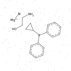 NCCO.[Mg+2][Br].c1ccc(B(c2ccccc2)C2CC2)cc1